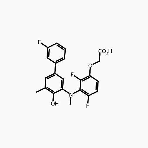 Cc1cc(-c2cccc(F)c2)cc(N(C)c2c(F)ccc(OCC(=O)O)c2F)c1O